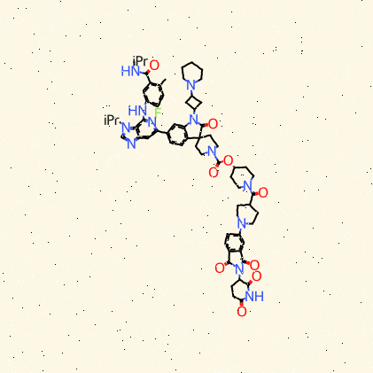 Cc1cc(F)c(Nc2nc(-c3ccc4c(c3)N(C3CC(N5CCCCC5)C3)C(=O)C43CCN(C(=O)OC4CCN(C(=O)C5CCN(c6ccc7c(c6)C(=O)N(C6CCC(=O)NC6=O)C7=O)CC5)CC4)CC3)cc3ncn(C(C)C)c23)cc1C(=O)NC(C)C